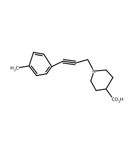 [CH2]c1ccc(C#CCN2CCC(C(=O)O)CC2)cc1